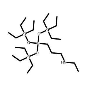 CCNCCC[Si](O[Si](CC)(CC)CC)(O[Si](CC)(CC)CC)O[Si](CC)(CC)CC